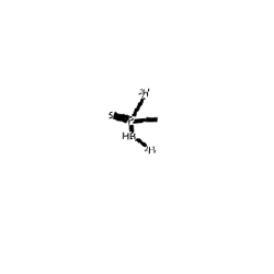 [2H]BP([2H])(C)=S